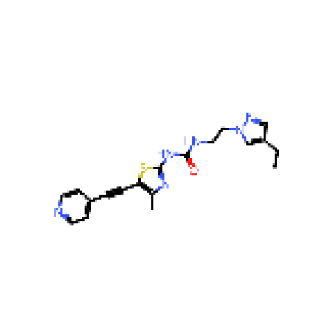 CCc1cnn(CCNC(=O)Nc2nc(C)c(C#Cc3ccncc3)s2)c1